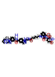 C[C@H]1CCCN1Cc1nc2cc(NC(=O)c3ccc4c(cnn4CCNC(=O)CCCCCNc4cccc5c4C(=O)N(C4CCC(=O)NC4=O)C5=O)c3)ccc2[nH]1